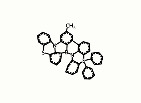 Cc1cc2c3c(c1)N1c4ccccc4Sc4cccc(c41)B3N1c3ccccc3S(c3ccccc3)(c3ccccc3)c3cccc-2c31